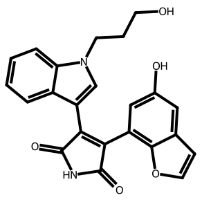 O=C1NC(=O)C(c2cc(O)cc3ccoc23)=C1c1cn(CCCO)c2ccccc12